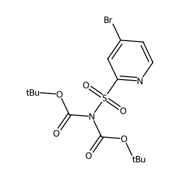 CC(C)(C)OC(=O)N(C(=O)OC(C)(C)C)S(=O)(=O)c1cc(Br)ccn1